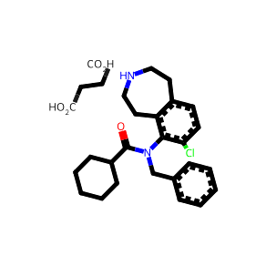 O=C(C1CCCCC1)N(Cc1ccccc1)c1c(Cl)ccc2c1CCNCC2.O=C(O)CCC(=O)O